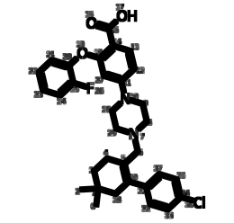 CC1(C)CCC(CN2CCN(c3ccc(C(=O)O)c(Oc4ccccc4F)c3)CC2)=C(c2ccc(Cl)cc2)C1